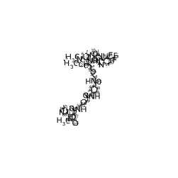 CC(C)N(C)[C@@H]1CC[C@H](N2CC[C@H](Nc3ncnc4ccc(C(F)(F)F)cc34)C2=O)[C@H](NC(=O)CCOCCNC(=O)C2CCC(NC(=O)COCCNC(=O)[C@H]3CC(=O)N(C)[C@@H]3c3cccnc3)CC2)C1